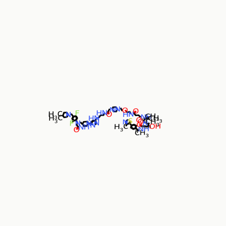 Cc1ncsc1-c1ccc([C@H](C)NC(=O)[C@@H]2C[C@@H](O)CN2C(=O)[C@@H](NC(=O)CCC(=O)NCCOCCN2CCN(CC(=O)NCCCNc3cc(N4CCC5(CC4)CN(c4cc(F)c(CN6CCC(C)(C)CC6)cc4F)CC(=O)N5)ncn3)CC2)C(C)(C)C)cc1